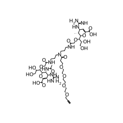 C#CCOCCOCCOCCOCCC(=O)N(CCCNC(=O)CO[C@@H]([C@@H]1OC(C(=O)O)=C[C@H](NC(=N)N)[C@H]1C)[C@H](O)CO)CCCNC(=O)CO[C@@H]([C@@H]1OC(C(=O)O)=C[C@H](NC(=N)N)[C@H]1NC(C)=O)[C@H](O)CO